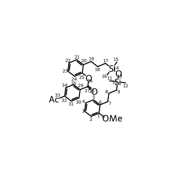 COc1ccccc1CCC[Si](C)(C)O[Si](C)(C)CCCc1ccccc1OC(=O)c1ccc(C(C)=O)cc1